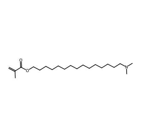 C=C(C)C(=O)OCCCCCCCCCCCCCCCN(C)C